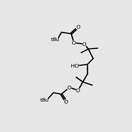 CC(C)(C)CC(=O)OOC(C)(C)CC(O)CC(C)(C)OOC(=O)CC(C)(C)C